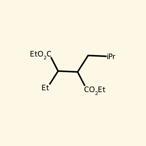 CCOC(=O)C(CC)C(CC(C)C)C(=O)OCC